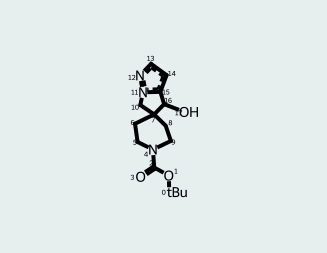 CC(C)(C)OC(=O)N1CCC2(CC1)Cn1nccc1C2O